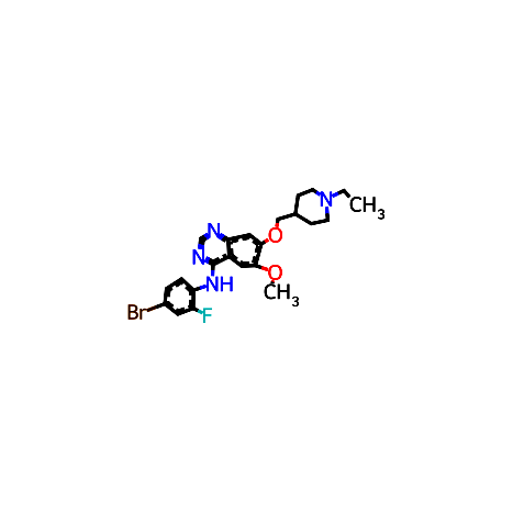 CCN1CCC(COc2cc3ncnc(Nc4ccc(Br)cc4F)c3cc2OC)CC1